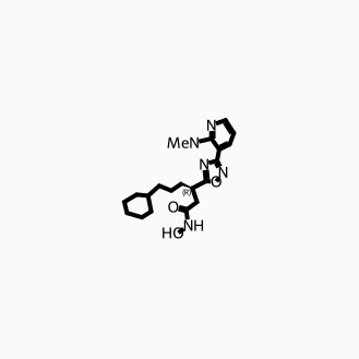 CNc1ncccc1-c1noc([C@H](CCCC2CCCCC2)CC(=O)NO)n1